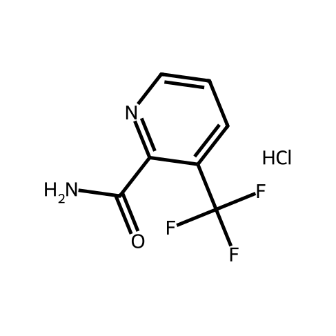 Cl.NC(=O)c1ncccc1C(F)(F)F